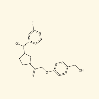 O=C(COc1ccc(CO)cc1)N1CCC([S+]([O-])c2cccc(F)c2)C1